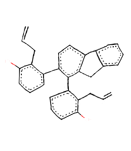 C=CCc1c(O)cccc1-c1ccc2c(c1-c1cccc(O)c1CC=C)Cc1ccccc1-2